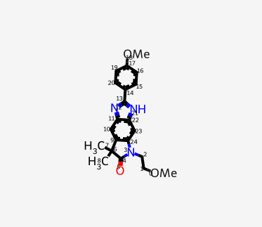 COCCN1C(=O)C(C)(C)c2cc3nc(-c4ccc(OC)cc4)[nH]c3cc21